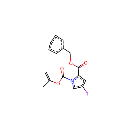 C=C(C)OC(=O)n1cc(I)cc1C(=O)OCc1ccccc1